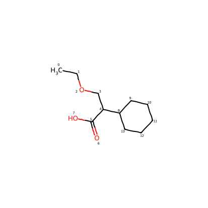 CCOCC(C(=O)O)C1CCCCC1